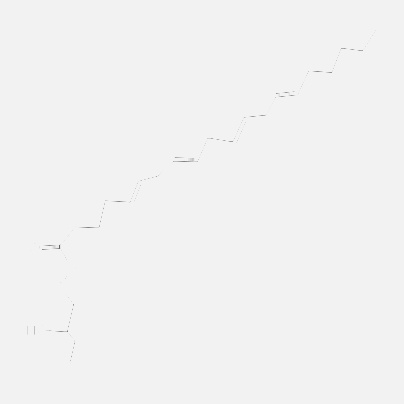 CCCCCC=CCC=CCC=CCC=CCCCC(=O)OOCC(O)CO